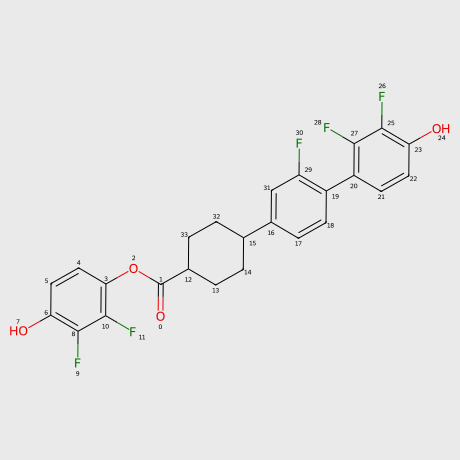 O=C(Oc1ccc(O)c(F)c1F)C1CCC(c2ccc(-c3ccc(O)c(F)c3F)c(F)c2)CC1